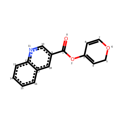 O=C(OC1=CCOC=C1)c1cnc2ccccc2c1